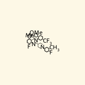 COC(=O)CC1c2cccc(F)c2N=C(C2CCN(c3ccc(F)c(C)c3)CC2)N1c1cc(C(F)(F)F)ccc1OC